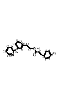 O=C(C=Cc1ccc(F)cc1)NCCc1cccc(Oc2ccccn2)c1